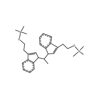 CC(C1C=C(CCO[Si](C)(C)C)c2ccccc21)C1C=C(CCO[Si](C)(C)C)c2ccccc21